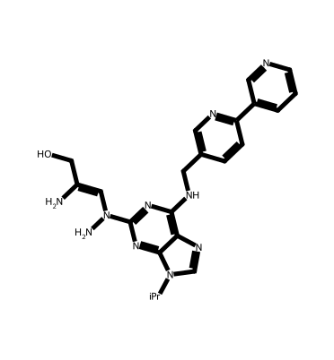 CC(C)n1cnc2c(NCc3ccc(-c4cccnc4)nc3)nc(N(N)/C=C(\N)CO)nc21